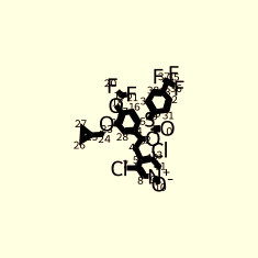 O=C(OC(Cc1c(Cl)c[n+]([O-])cc1Cl)c1ccc(OC(F)F)c(OCC2CC2)c1)Sc1ccc(C(F)(F)F)cc1